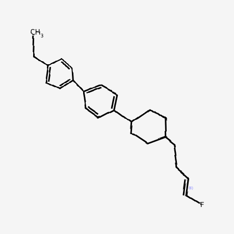 CCc1ccc(-c2ccc(C3CCC(CC/C=C/F)CC3)cc2)cc1